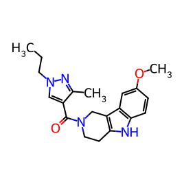 CCCn1cc(C(=O)N2CCc3[nH]c4ccc(OC)cc4c3C2)c(C)n1